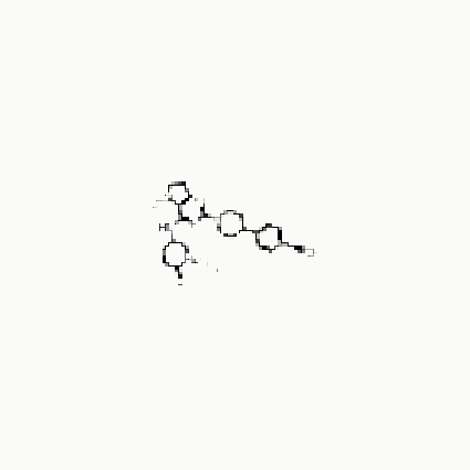 C#Cc1ccc(C2CCN(c3nc4c(c(N[C@H]5CCC(=O)N(C)C5)n3)[S+]([O-])CC4)CC2)cc1